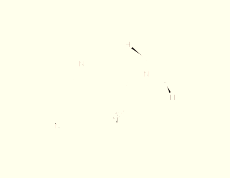 CSCCN1[C@@H]2CC[C@H]1C[C@](C#N)(c1cncc(C#N)c1)C2